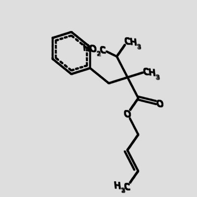 CC=CCOC(=O)C(C)(Cc1ccccc1)C(C)C(=O)O